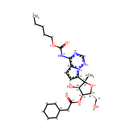 CCCCCOC(=O)Nc1ncnn2c([C@]3(C)O[C@H](CO)[C@@H](OC(=O)CC4CCCCC4)[C@H]3O)ccc12